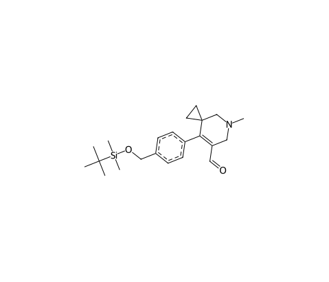 CN1CC(C=O)=C(c2ccc(CO[Si](C)(C)C(C)(C)C)cc2)C2(CC2)C1